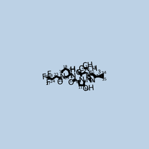 CC(C)(C)[C@@H](C(=O)N1C[C@H](O)C[C@H]1C(=O)N[C@@H]1CCCN(C(=O)CCC(F)(F)F)C1)n1cc(C2CC2)nn1